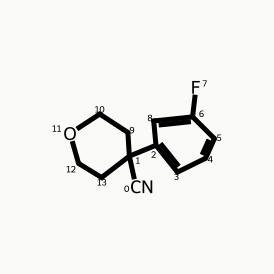 N#CC1(c2cccc(F)c2)CCOCC1